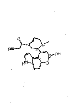 C[C@@H]1CCN(C(=O)CC#N)C[C@@H]1C1=CB(O)Oc2cnc3[nH]ccc3c21